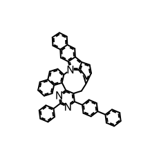 c1ccc(-c2ccc(-c3nc(-c4ccccc4)nc4c3Cc3ccc5c6cc7ccccc7cc6n(c5c3)-c3ccc5ccccc5c3-4)cc2)cc1